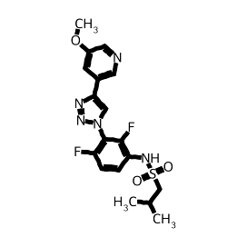 COc1cncc(-c2cn(-c3c(F)ccc(NS(=O)(=O)CC(C)C)c3F)nn2)c1